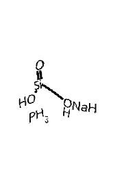 O=[Si](O)O.P.[NaH]